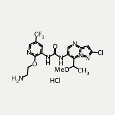 COC(C)c1c(NC(=O)Nc2cc(C(F)(F)F)cnc2OCCN)cnc2cc(Cl)nn12.Cl